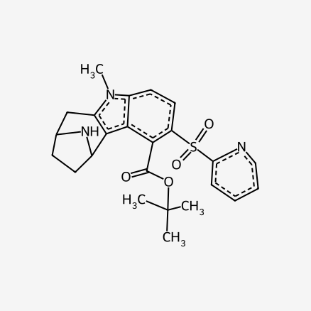 Cn1c2c(c3c(C(=O)OC(C)(C)C)c(S(=O)(=O)c4ccccn4)ccc31)C1CCC(C2)N1